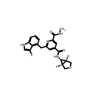 CNC(=O)c1cc(C(=O)N[C@H]2[C@@H]3COC[C@@H]32)cc(Cc2cccc3[nH]cc(F)c23)n1